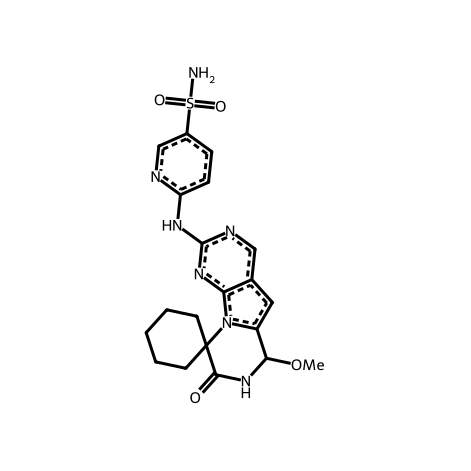 COC1NC(=O)C2(CCCCC2)n2c1cc1cnc(Nc3ccc(S(N)(=O)=O)cn3)nc12